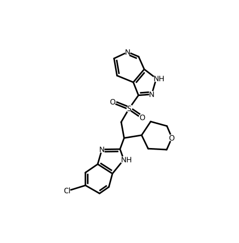 O=S(=O)(CC(c1nc2cc(Cl)ccc2[nH]1)C1CCOCC1)c1n[nH]c2cnccc12